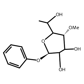 CO[C@@H]1C(O)C(O)[C@@H](Oc2ccccc2)OC1C(C)O